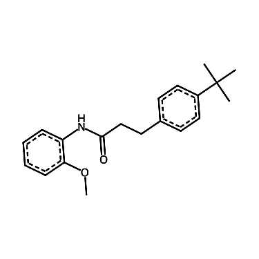 COc1ccccc1NC(=O)CCc1ccc(C(C)(C)C)cc1